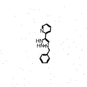 C1=C(c2ccccn2)NNN1Cc1ccccc1